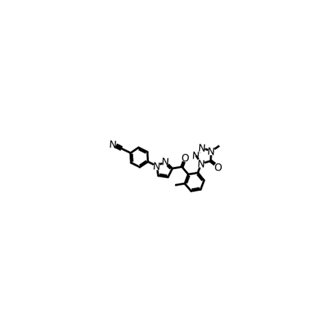 Cc1cccc(-n2nnn(C)c2=O)c1C(=O)c1ccn(-c2ccc(C#N)cc2)n1